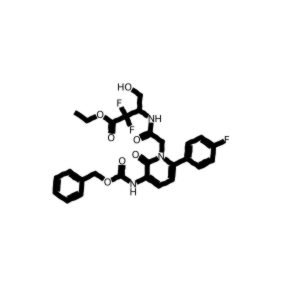 CCOC(=O)C(F)(F)C(CO)NC(=O)Cn1c(-c2ccc(F)cc2)ccc(NC(=O)OCc2ccccc2)c1=O